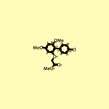 COC(=O)COc1cc(OC)cc(OC)c1-c1ccc(Cl)cc1